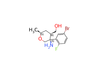 C[C@H]1C[C@@H](CO)[C@](N)(c2cc(Br)ccc2F)CO1